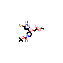 CCOC(=O)COC1(c2cc(Br)[nH]n2)CCN(C(=O)OC(C)(C)C)C1